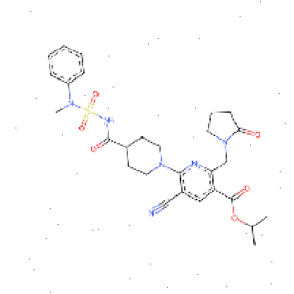 CC(C)OC(=O)c1cc(C#N)c(N2CCC(C(=O)NS(=O)(=O)N(C)c3ccccc3)CC2)nc1CN1CCCC1=O